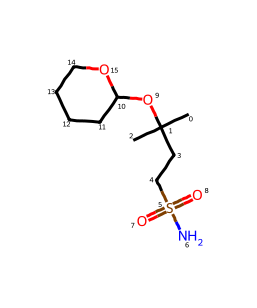 CC(C)(CCS(N)(=O)=O)OC1CCCCO1